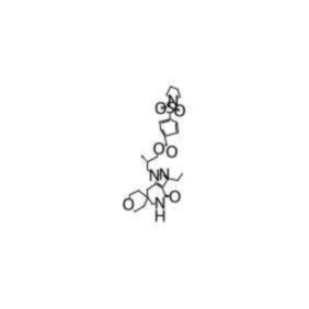 CCc1nn(C[C@@H](C)COC(=O)c2ccc(S(=O)(=O)N3CCCC3)cc2)c2c1C(=O)NCC1(CCOCC1)C2